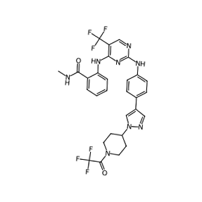 CNC(=O)c1ccccc1Nc1nc(Nc2ccc(-c3cnn(C4CCN(C(=O)C(F)(F)F)CC4)c3)cc2)ncc1C(F)(F)F